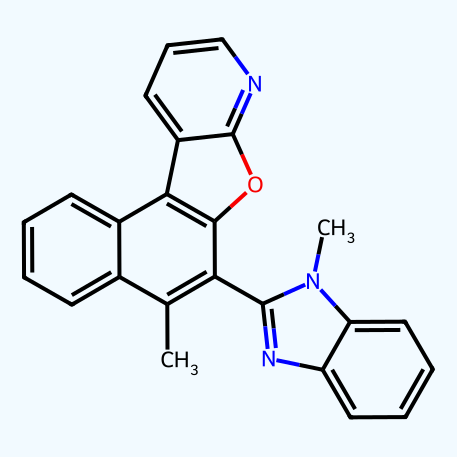 Cc1c(-c2nc3ccccc3n2C)c2oc3ncccc3c2c2ccccc12